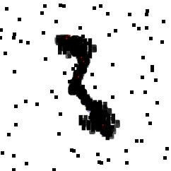 Cc1c(C(=O)C(=O)NC/C(N)=C/NCCOCCOCCOCC(CO)COCCOCCOCCn2cc(CNC(=O)C(=O)c3c(C)c(C(=O)Nc4ccc(F)c(F)c4)n(C)c3C)nn2)c(C)n(C)c1C(=O)Nc1ccc(F)c(F)c1